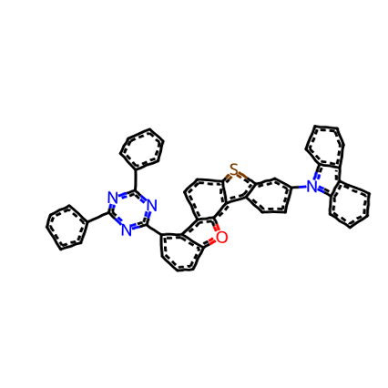 c1ccc(-c2nc(-c3ccccc3)nc(-c3cccc4oc5c(ccc6sc7cc(-n8c9ccccc9c9ccccc98)ccc7c65)c34)n2)cc1